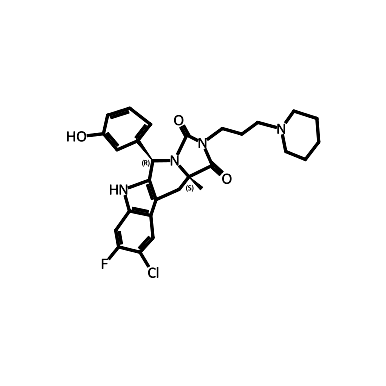 C[C@@]12Cc3c([nH]c4cc(F)c(Cl)cc34)[C@@H](c3cccc(O)c3)N1C(=O)N(CCCN1CCCCC1)C2=O